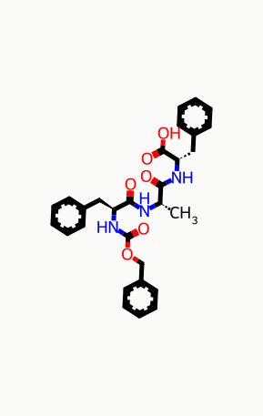 C[C@H](NC(=O)[C@H](Cc1ccccc1)NC(=O)OCc1ccccc1)C(=O)N[C@@H](Cc1ccccc1)C(=O)O